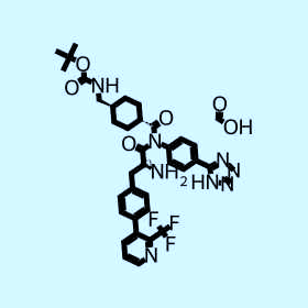 CC(C)(C)OC(=O)NC[C@H]1CC[C@H](C(=O)N(C(=O)[C@@H](N)Cc2ccc(-c3cccnc3C(F)(F)F)cc2)c2ccc(-c3nnn[nH]3)cc2)CC1.O=CO